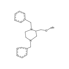 CCCOCC1CN(Cc2ccccc2)CCN1Cc1ccccc1